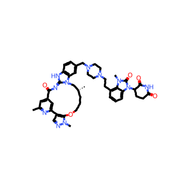 Cc1cc2cc(n1)-c1cnn(C)c1OCCC[C@@H](C)CN1/C(=N/C2=O)Nc2ccc(CN3CCN(CCc4cccc5c4n(C)c(=O)n5C4CCC(=O)NC4=O)CC3)cc21